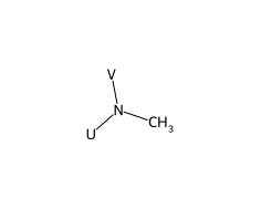 C[N]([V])[U]